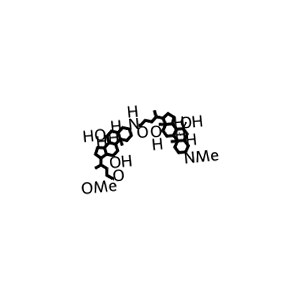 CN[C@@H]1CCC2(C)C3CC(O)C4(C)C(C(C)CCC(=O)N[C@@H]5CCC6(C)C7CC(O)C8C(C(C)CCC(=O)OC)CC[C@H]8[C@H]7[C@@H](O)C[C@@H]6C5)CC[C@H]4[C@H]3[C@@H](O)C[C@@H]2C1